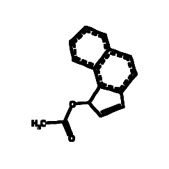 CC(=O)OC1C=Cc2ccc3ccccc3c21